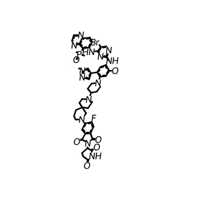 COc1cc(N2CCC(N3CCC4(CCCN(c5cc6c(cc5F)C(=O)N(C5CCC(=O)NC5=O)C6=O)C4)CC3)CC2)c(-c2cnn(C)c2)cc1Nc1ncc(Br)c(Nc2ccc3nccnc3c2P(C)(C)=O)n1